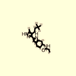 CCC(=O)NC1C=Cc2cc(-c3n[nH]c(C)c3CCC(C)(C)C)[nH]c2C1